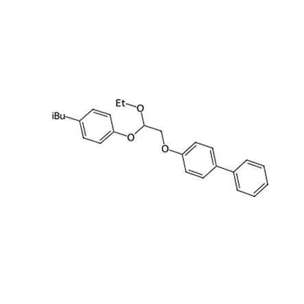 CCOC(COc1ccc(-c2ccccc2)cc1)Oc1ccc(C(C)CC)cc1